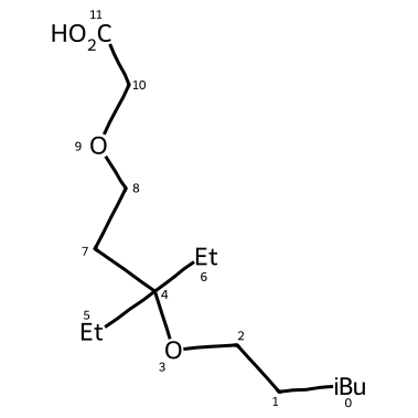 CCC(C)CCOC(CC)(CC)CCOCC(=O)O